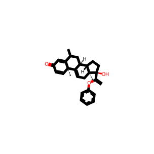 C=C(Oc1ccccc1)[C@@]1(O)CC[C@H]2[C@@H]3CC(C)C4=CC(=O)C=C[C@]4(C)C3=CC[C@@]21C